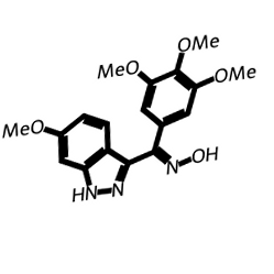 COc1ccc2c(/C(=N/O)c3cc(OC)c(OC)c(OC)c3)n[nH]c2c1